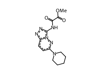 COC(=O)C(=O)Nc1nnc2ccc(N3CCCCC3)nn12